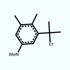 CCC(C)(C)c1cc(NC)cc(C)c1C